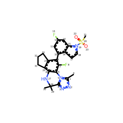 Cc1nnc2n1-c1c(F)c(-c3cc(F)cc4c3ccn4S(C)(=O)=O)c3c(c1NC2(C)C)CCC3